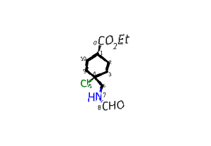 CCOC(=O)[C@H]1CC[C@](Cl)(CNC=O)CC1